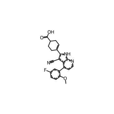 COc1ccc(F)cc1-c1ccnc2[nH]c(C3=CCC(C(=O)O)CC3)c(C#N)c12